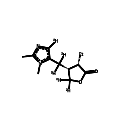 [2H]c1nc(C)n(C)c1C([2H])([2H])[C@@H]1[C@H](CC)C(=O)OC1([2H])[2H]